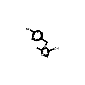 Cc1ncc(O)n1Cc1ccc(C#N)cc1